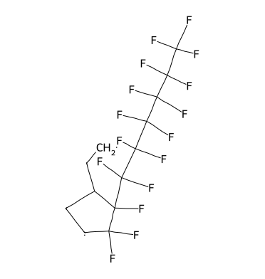 [CH2]CC1C[CH]C(F)(F)C1(F)C(F)(F)C(F)(F)C(F)(F)C(F)(F)C(F)(F)C(F)(F)F